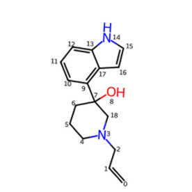 C=CCN1CCCC(O)(c2cccc3[nH]ccc23)C1